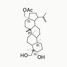 C=C(C)C1CC[C@]2(COC(C)=O)CC[C@]3(C)C(CCC4[C@@]5(C)CC[C@H](O)[C@@](C)(CO)C5CC[C@]43C)C12